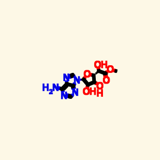 COC(=O)C(O)[C@H]1O[C@@H](n2cnc3c(N)ncnc32)C(O)C1O